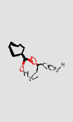 CC(OC(=O)C1CCCC1)C(=O)O